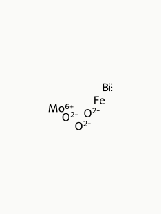 [Bi].[Fe].[Mo+6].[O-2].[O-2].[O-2]